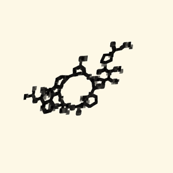 C=CC(=O)N1CC[C@H](C(=O)N(C)C(C(=O)N[C@H]2Cc3cc(O)cc(c3)-c3ccc4c(c3)c(c(-c3cccnc3[C@H](C)OC(F)F)n4CC)CC(C)(C)COC(=O)[C@@H]3CCCN(N3)C2=O)C(C)C)C1